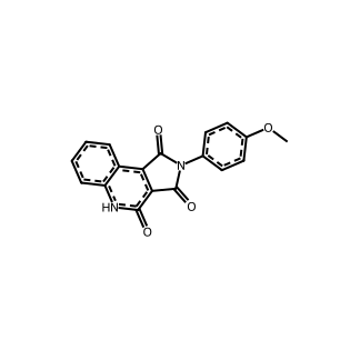 COc1ccc(N2C(=O)c3c(c4ccccc4[nH]c3=O)C2=O)cc1